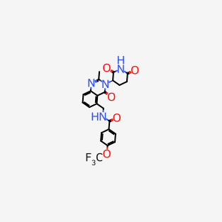 Cc1nc2cccc(CNC(=O)c3ccc(OC(F)(F)F)cc3)c2c(=O)n1[C@@H]1CCC(=O)NC1=O